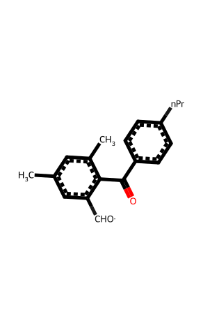 CCCc1ccc(C(=O)c2c(C)cc(C)cc2[C]=O)cc1